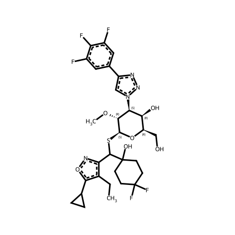 CCc1c(C(S[C@@H]2O[C@H](CO)[C@H](O)[C@H](n3cc(-c4cc(F)c(F)c(F)c4)nn3)[C@H]2OC)C2(O)CCC(F)(F)CC2)noc1C1CC1